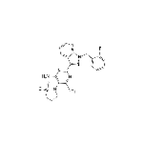 Nc1nc(-c2nn(Cc3ccccc3F)c3ncccc23)nc(N)c1N1CCCS1(=O)=O